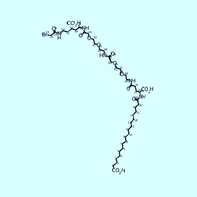 O=C(O)CCCCCCCCCCCCCCCCCCC(=O)NC(CCC(=O)NCCOCCOCC(=O)NCCOCCOCC(=O)N[C@@H](CCCCNC(=O)CBr)C(=O)O)C(=O)O